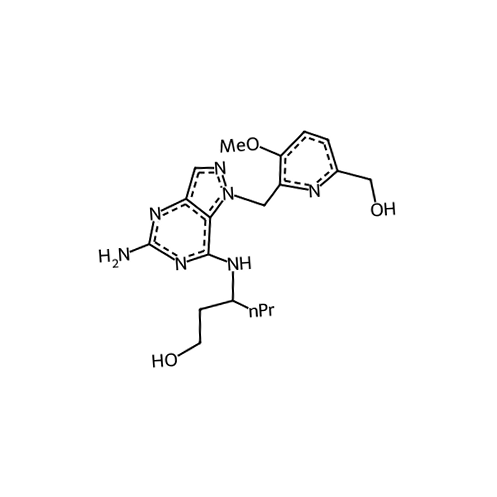 CCCC(CCO)Nc1nc(N)nc2cnn(Cc3nc(CO)ccc3OC)c12